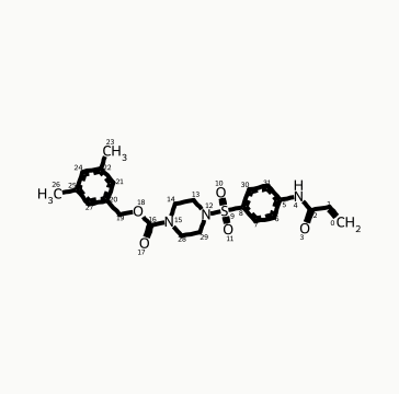 C=CC(=O)Nc1ccc(S(=O)(=O)N2CCN(C(=O)OCc3cc(C)cc(C)c3)CC2)cc1